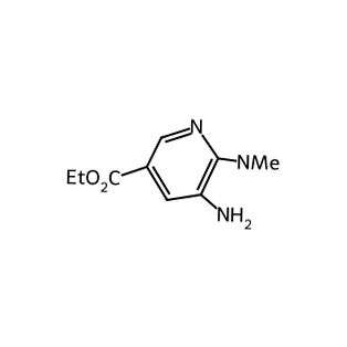 CCOC(=O)c1cnc(NC)c(N)c1